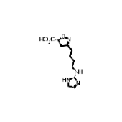 O=C(O)[C@H]1CC(CCCCN[C@@H]2N=CCN2)=NO1